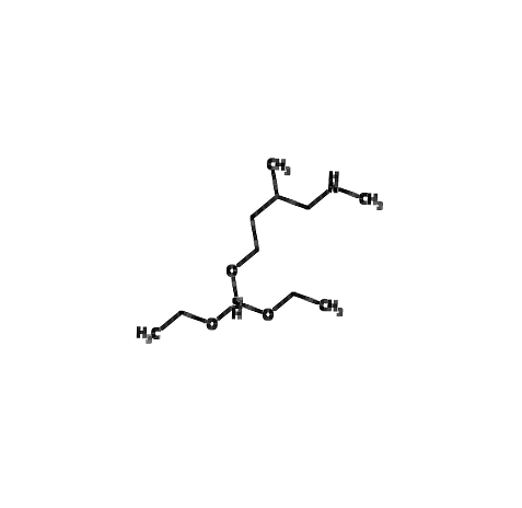 CCO[SiH](OCC)OCCC(C)CNC